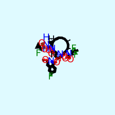 COc1cc2cc(F)ccc2c(O[C@@H]2C[C@H]3C(=O)N[C@]4(C(=O)NS(=O)(=O)C5(CF)CC5)C[C@H]4C=CCC[C@@H](C)C[C@@H](C)[C@H](N(C(=O)O)C(C)(C)C(C)(F)F)C(=O)N3C2)n1